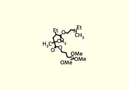 CCC(CC(C)(C)C(=O)OCCC[Si](OC)(OC)OC)C(=O)OCCN(C)CC